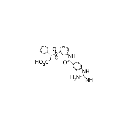 N=C(N)Nc1ccc(C(=O)Nc2cccc(S(=O)(=O)C(CC(=O)O)c3ccccc3)c2)cc1